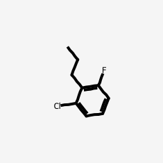 CCCc1c(F)cccc1Cl